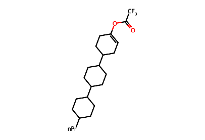 CCCC1CCC(C2CCC(C3CC=C(OC(=O)C(F)(F)F)CC3)CC2)CC1